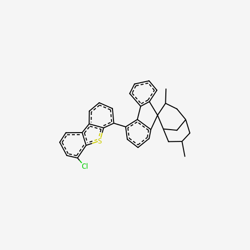 CC1CC2CC(C)C3(c4ccccc4-c4c(-c5cccc6c5sc5c(Cl)cccc56)cccc43)C(C1)C2